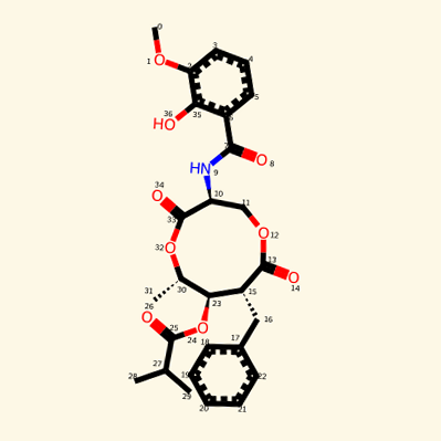 COc1cccc(C(=O)N[C@H]2COC(=O)[C@H](Cc3ccccc3)[C@@H](OC(=O)C(C)C)[C@H](C)OC2=O)c1O